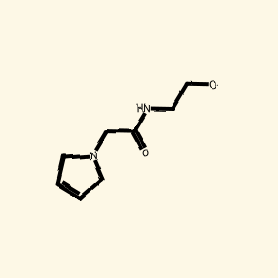 [O]CCNC(=O)CN1CC=CC1